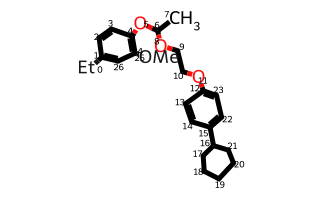 CCc1ccc(OC(C)OCCOc2ccc(C3CCCCC3)cc2)c(OC)c1